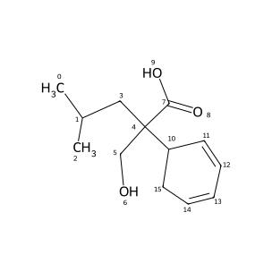 CC(C)CC(CO)(C(=O)O)C1C=CC=CC1